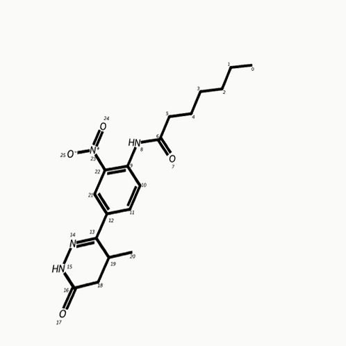 CCCCCCC(=O)Nc1ccc(C2=NNC(=O)CC2C)cc1[N+](=O)[O-]